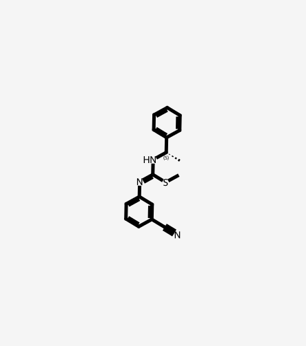 CSC(=Nc1cccc(C#N)c1)N[C@@H](C)c1ccccc1